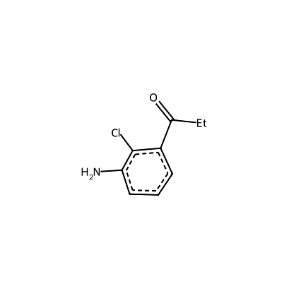 CCC(=O)c1cccc(N)c1Cl